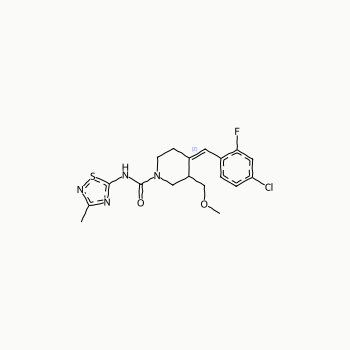 COCC1CN(C(=O)Nc2nc(C)ns2)CC/C1=C/c1ccc(Cl)cc1F